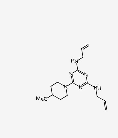 C=CCNc1nc(NCC=C)nc(N2CCC(OC)CC2)n1